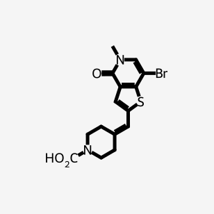 Cn1cc(Br)c2sc(C=C3CCN(C(=O)O)CC3)cc2c1=O